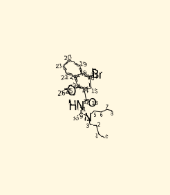 CCCCN(CCCC)C(C)NC(=O)c1cc(Br)c2ccccc2c1OC